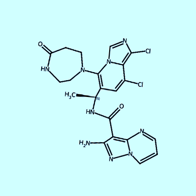 C[C@H](NC(=O)c1c(N)nn2cccnc12)c1cc(Cl)c2c(Cl)ncn2c1N1CCNC(=O)CC1